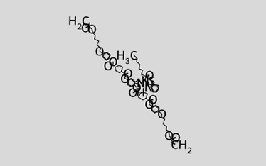 C=CC(=O)OCCCCCCOc1ccc(OC(=O)[C@H]2CC[C@H](C(=O)Oc3ccc(OC(=O)[C@H]4CC[C@H](C(=O)Oc5ccc(OCCCCCCOC(=O)C=C)cc5)CC4)c(CNN(C(=O)CCCCCCC)c4nc5ccccc5s4)c3)CC2)cc1